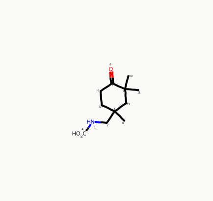 CC1(CNC(=O)O)CCC(=O)C(C)(C)C1